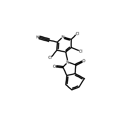 N#Cc1nc(Cl)c(Cl)c(N2C(=O)c3ccccc3C2=O)c1Cl